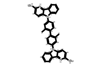 Cc1cc(-n2c3ccccc3c3nc(C(C)(C)C)ccc32)ccc1-c1ccc(-n2c3ccccc3c3nc(C(C)(C)C)ccc32)cc1C